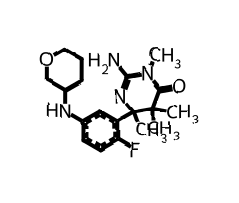 CN1C(=O)C(C)(C)C(C)(c2cc(NC3CCCOC3)ccc2F)N=C1N